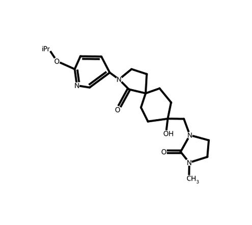 CC(C)Oc1ccc(N2CCC3(CCC(O)(CN4CCN(C)C4=O)CC3)C2=O)cn1